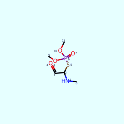 CNC(C=O)SP(=O)(OC)OC